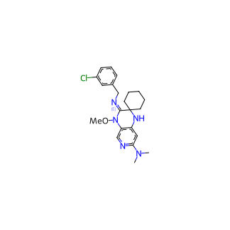 CON1/C(=N/Cc2cccc(Cl)c2)C2(CCCCC2)Nc2cc(N(C)C)ncc21